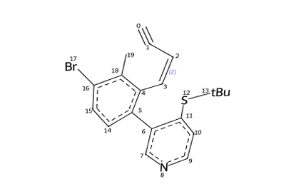 C#C/C=C\c1c(-c2cnccc2SC(C)(C)C)ccc(Br)c1C